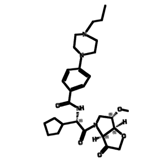 CCCN1CCN(c2ccc(C(=O)N[C@H](C(=O)N3C[C@H](OC)[C@H]4OCC(=O)[C@H]43)C3CCCC3)cc2)CC1